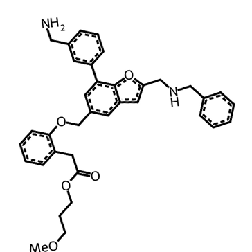 COCCCOC(=O)Cc1ccccc1OCc1cc(-c2cccc(CN)c2)c2oc(CNCc3ccccc3)cc2c1